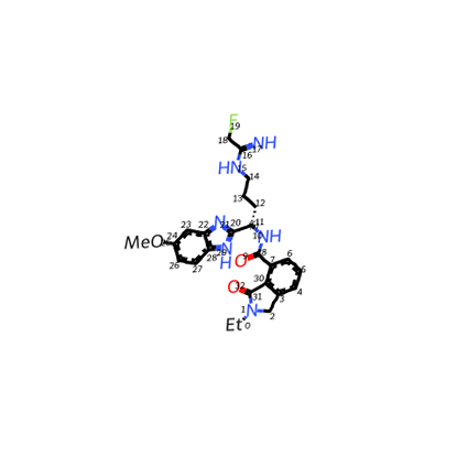 CCN1Cc2cccc(C(=O)N[C@@H](CCCNC(=N)CF)c3nc4cc(OC)ccc4[nH]3)c2C1=O